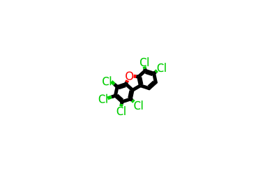 Clc1ccc2c(oc3c(Cl)c(Cl)c(Cl)c(Cl)c32)c1Cl